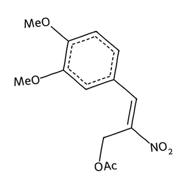 COc1ccc(C=C(COC(C)=O)[N+](=O)[O-])cc1OC